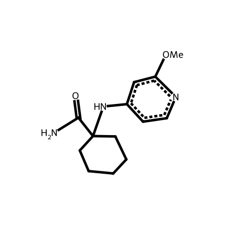 COc1cc(NC2(C(N)=O)CCCCC2)ccn1